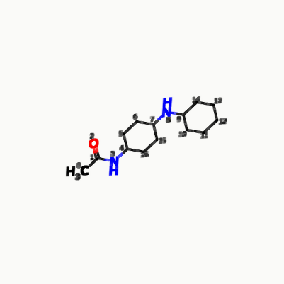 CC(=O)NC1CCC(NC2CCCCC2)CC1